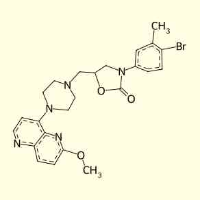 COc1ccc2nccc(N3CCN(CC4CN(c5ccc(Br)c(C)c5)C(=O)O4)CC3)c2n1